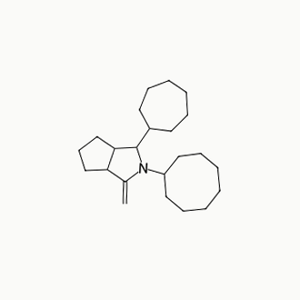 C=C1C2CCCC2C(C2CCCCCC2)N1C1CCCCCCC1